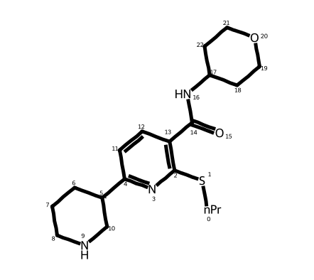 CCCSc1nc([C]2CCCNC2)ccc1C(=O)NC1CCOCC1